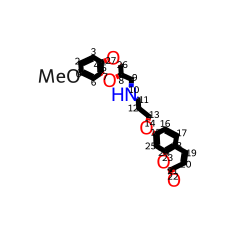 COc1ccc2c(c1)OC(CNCCCOc1ccc3ccc(=O)oc3c1)CO2